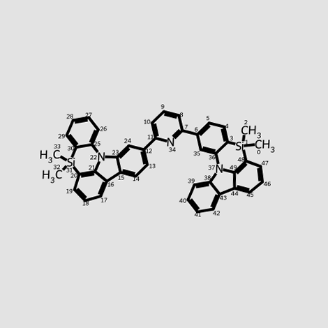 C[Si]1(C)c2ccc(-c3cccc(-c4ccc5c6cccc7c6n(c5c4)-c4ccccc4[Si]7(C)C)n3)cc2-n2c3ccccc3c3cccc1c32